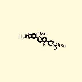 COc1cc2nn(C)cc2cc1-c1ccc2c(F)c(C3CCN(C(=O)OC(C)(C)C)CC3)ccc2n1